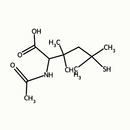 CC(=O)NC(C(=O)O)C(C)(C)CC(C)(C)S